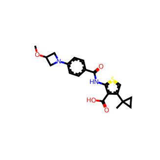 COC1CN(c2ccc(C(=O)Nc3scc(C4(C)CC4)c3C(=O)O)cc2)C1